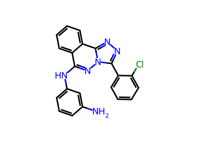 Nc1cccc(Nc2nn3c(-c4ccccc4Cl)nnc3c3ccccc23)c1